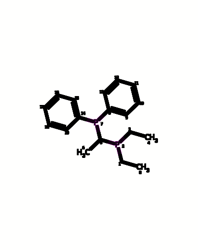 CCP(CC)C(C)P(c1ccccc1)c1ccccc1